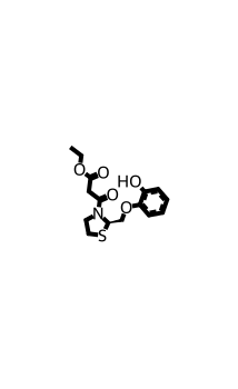 CCOC(=O)CC(=O)N1CCS[C@@H]1COc1ccccc1O